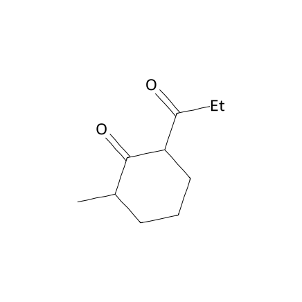 CCC(=O)C1CCCC(C)C1=O